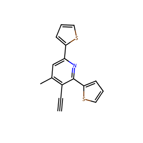 C#Cc1c(C)cc(-c2cccs2)nc1-c1cccs1